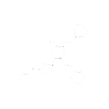 CCOC(=O)/C(O)=C/C(=O)c1cc(Cl)c(OCc2ccccc2)cc1OCc1ccccc1